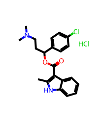 Cc1[nH]c2ccccc2c1C(=O)OC(CCN(C)C)c1ccc(Cl)cc1.Cl